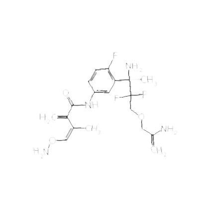 C=C(N)COCC(F)(F)[C@](C)(N)c1cc(NC(=O)C(=C)/C(C)=C\ON)ccc1F